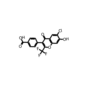 O=C(O)c1ccc(-c2c(C(F)(F)F)oc3cc(O)c(Cl)cc3c2=O)cc1